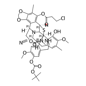 COc1cc2c(cc1OC(=O)OC(C)(C)C)CCN[C@]21CS[C@@H]2c3c(OC(=O)CCCl)c(C)c4c(c3[C@H](COC1=O)N1C2[C@H]2c3c(cc(C)c(OC)c3O)C[C@@H]([C@@H]1C#N)N2C)OCO4